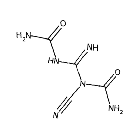 N#CN(C(=N)NC(N)=O)C(N)=O